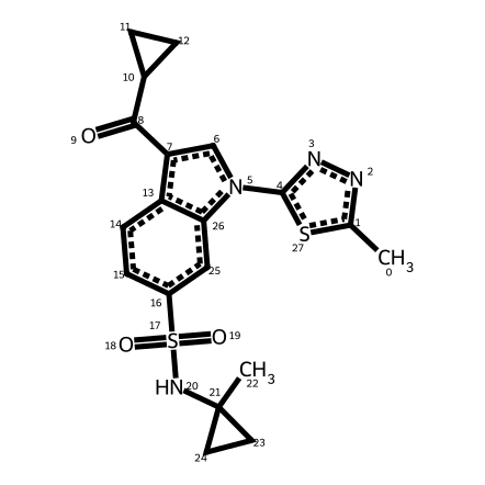 Cc1nnc(-n2cc(C(=O)C3CC3)c3ccc(S(=O)(=O)NC4(C)CC4)cc32)s1